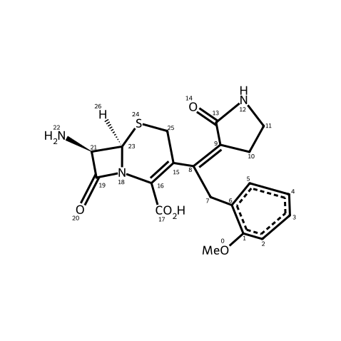 COc1ccccc1CC(=C1CCNC1=O)C1=C(C(=O)O)N2C(=O)[C@@H](N)[C@H]2SC1